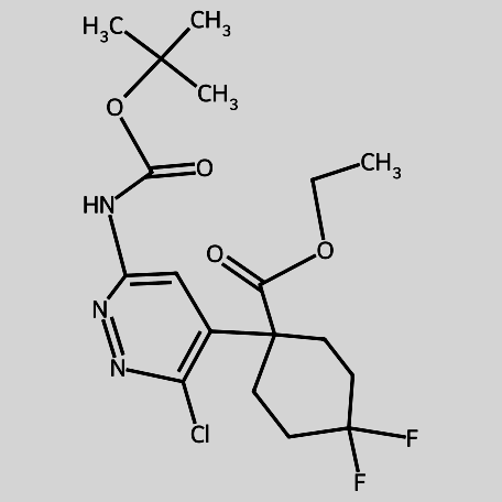 CCOC(=O)C1(c2cc(NC(=O)OC(C)(C)C)nnc2Cl)CCC(F)(F)CC1